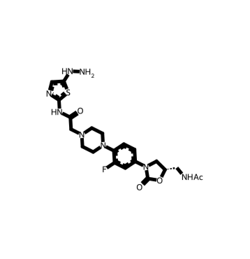 CC(=O)NC[C@H]1CN(c2ccc(N3CCN(CC(=O)Nc4ncc(NN)s4)CC3)c(F)c2)C(=O)O1